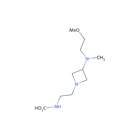 COCCN(C)C1CN(CCNC(=O)O)C1